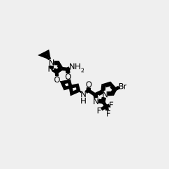 NC(=O)c1cn(C2CC2)nc1O[C@H]1CC2(C[C@H](NC(=O)c3nc(C(F)(F)F)n4cc(Br)ccc34)C2)C1